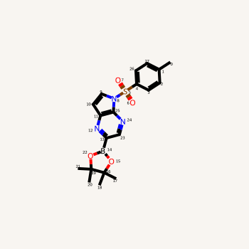 Cc1ccc(S(=O)(=O)n2ccc3nc(B4OC(C)(C)C(C)(C)O4)cnc32)cc1